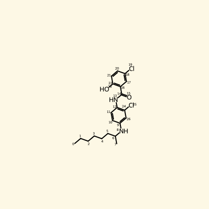 CCCCCCC(C)Nc1ccc(NC(=O)c2cc(Cl)ccc2O)c(Cl)c1